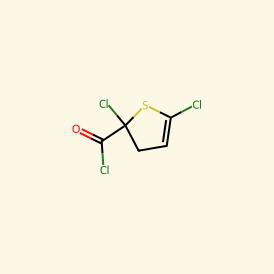 O=C(Cl)C1(Cl)CC=C(Cl)S1